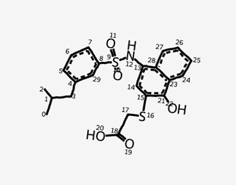 CC(C)Cc1cccc(S(=O)(=O)Nc2cc(SCC(=O)O)c(O)c3ccccc23)c1